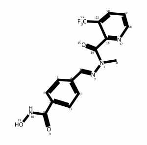 CN(/N=C/c1ccc(C(=O)NO)cc1)C(=O)c1ncccc1C(F)(F)F